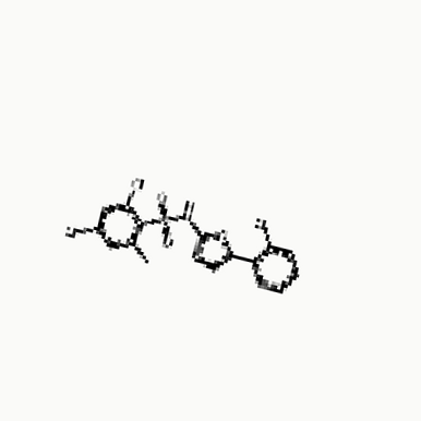 Cc1cc(Cl)cc(Cl)c1S(=O)(=O)Nc1nc(-c2ccccc2Cl)cs1